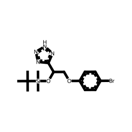 CC(C)(C)[Si](C)(C)OC(COc1ccc(Br)cc1)c1nn[nH]n1